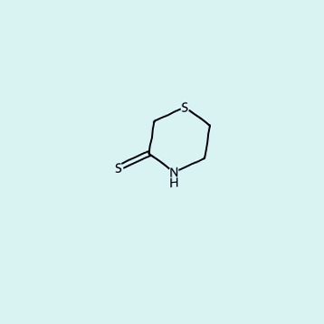 S=C1CSCCN1